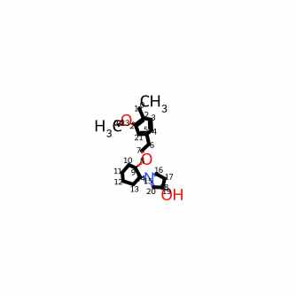 CCc1ccc(CCO[C@@H]2CCCC[C@H]2N2CC[C@@H](O)C2)cc1OC